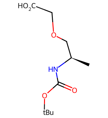 C[C@H](COCC(=O)O)NC(=O)OC(C)(C)C